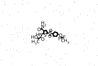 C[C@@H](O)C(=O)Nc1sc(S(=O)(=O)c2ccc(OC(C)(F)F)cc2)cc1C(N)=O